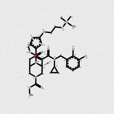 CC(C)(C)OC(=O)N1CC2CC(c3cnc(OCCO[Si](C)(C)C(C)(C)C)s3)=C(C(=O)N(Cc3cccc(Cl)c3Cl)C3CC3)[C@@H](C1)N2C(=O)OC(C)(C)C